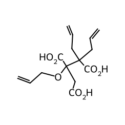 C=CCOC(CC(=O)O)(C(=O)O)C(CC=C)(CC=C)C(=O)O